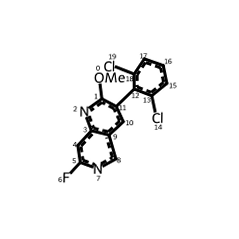 COc1nc2cc(F)ncc2cc1-c1c(Cl)cccc1Cl